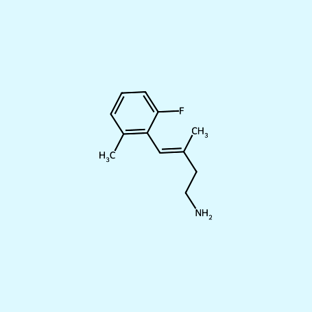 C/C(=C\c1c(C)cccc1F)CCN